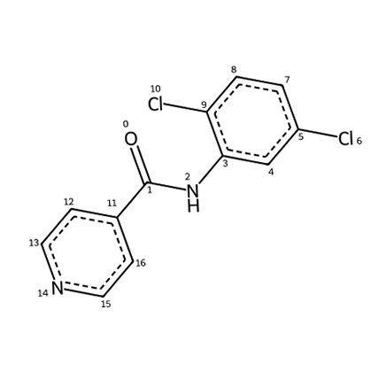 O=C(Nc1cc(Cl)ccc1Cl)c1ccncc1